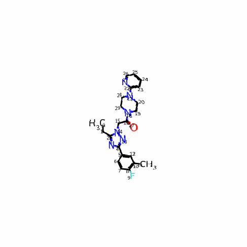 CCc1nc(-c2ccc(F)c(C)c2)nn1CC(=O)N1CCN(c2ccccn2)CC1